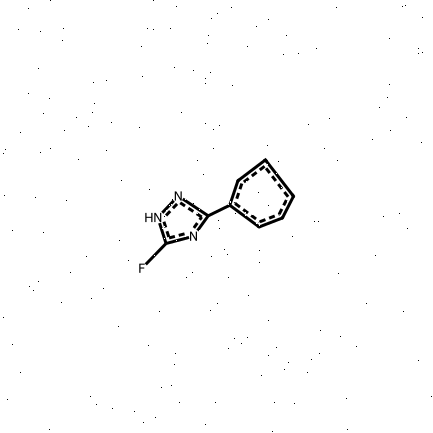 Fc1nc(-c2ccccc2)n[nH]1